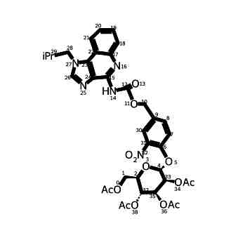 CC(=O)OC[C@H]1O[C@H](Oc2ccc(COC(=O)Nc3nc4ccccc4c4c3ncn4CC(C)C)cc2[N+](=O)[O-])[C@@H](OC(C)=O)[C@@H](OC(C)=O)[C@@H]1OC(C)=O